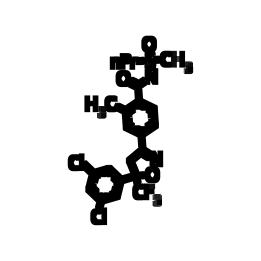 CCCS(C)(=O)=NC(=O)c1ccc(C2=NOC(c3cc(Cl)cc(Cl)c3)(C(F)(F)F)C2)cc1C